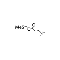 CSCOC(=O)CCN(C)C